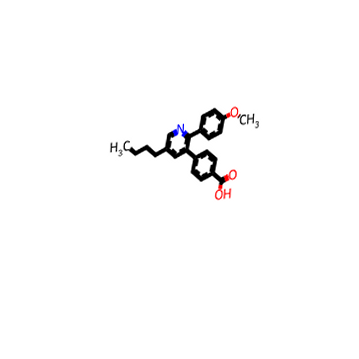 CCCCc1cnc(-c2ccc(OC)cc2)c(-c2ccc(C(=O)O)cc2)c1